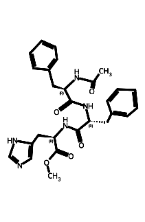 COC(=O)[C@@H](Cc1cnc[nH]1)NC(=O)[C@@H](Cc1ccccc1)NC(=O)[C@@H](Cc1ccccc1)NC(C)=O